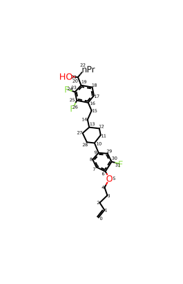 C=CCCCOc1ccc(C2CCC(CCc3ccc(C(O)CCC)c(F)c3F)CC2)cc1F